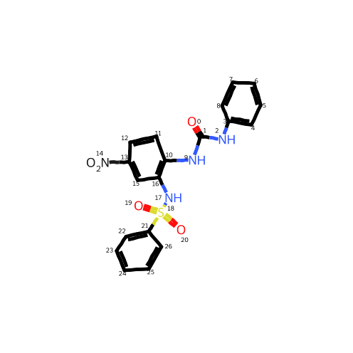 O=C(Nc1ccccc1)Nc1ccc([N+](=O)[O-])cc1NS(=O)(=O)c1ccccc1